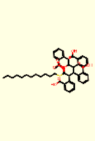 CCCCCCCCCCCCSC(=O)C(c1ccccc1C(=O)O)C(c1ccccc1C(=O)O)C(c1ccccc1C(=O)O)C(Cc1ccccc1C(=O)O)OC(C)=O